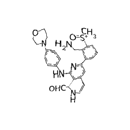 C[S+]([O-])c1cccc(-c2cc3c(c(Nc4ccc(N5CCOCC5)cc4)n2)C(C=O)NC=C3)c1CN